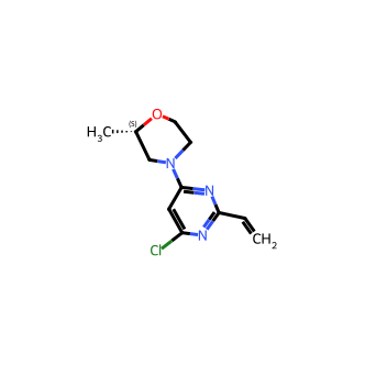 C=Cc1nc(Cl)cc(N2CCO[C@@H](C)C2)n1